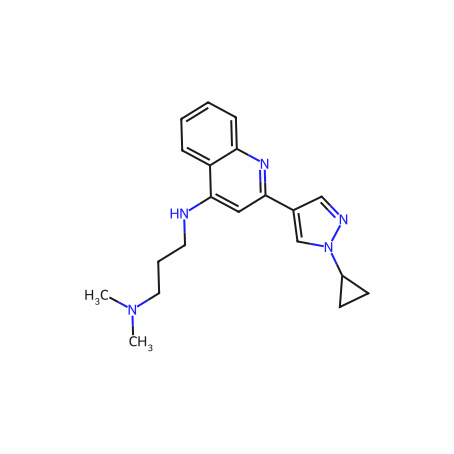 CN(C)CCCNc1cc(-c2cnn(C3CC3)c2)nc2ccccc12